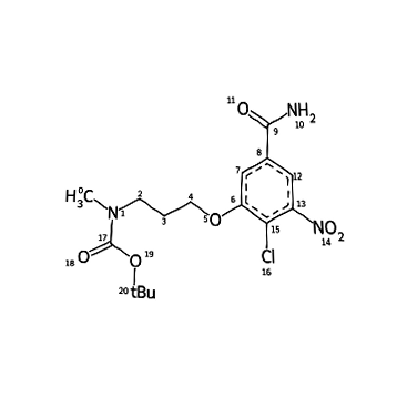 CN(CCCOc1cc(C(N)=O)cc([N+](=O)[O-])c1Cl)C(=O)OC(C)(C)C